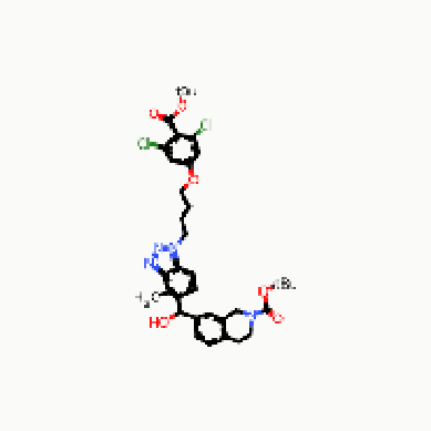 Cc1c(C(O)c2ccc3c(c2)CN(C(=O)OC(C)(C)C)CC3)ccc2c1nnn2CCCCOc1cc(Cl)c(C(=O)OC(C)(C)C)c(Cl)c1